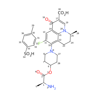 C[C@H](N)C(=O)OC1CCN(c2c(F)cc3c(=O)c(C(=O)O)cn4c3c2CC[C@@H]4C)CC1.Cc1ccc(S(=O)(=O)O)cc1